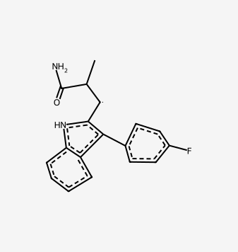 CC([CH]c1[nH]c2ccccc2c1-c1ccc(F)cc1)C(N)=O